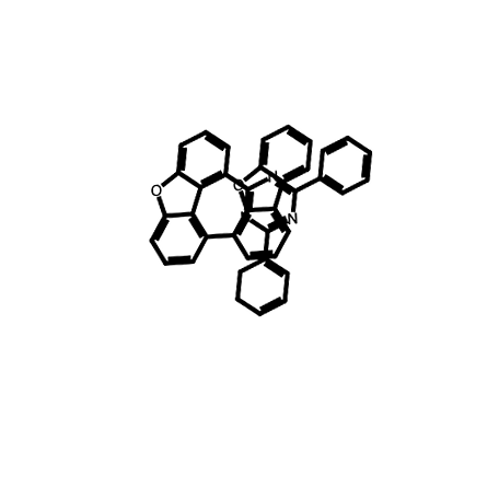 C1=CCCC(c2nc(-c3ccccc3)nc(-c3cccc4oc5cccc(-c6cccc7c6oc6ccccc67)c5c34)n2)=C1